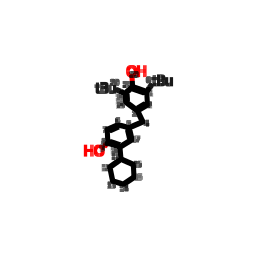 CC(C)(C)c1cc(Cc2ccc(O)c(C3CCCCC3)c2)cc(C(C)(C)C)c1O